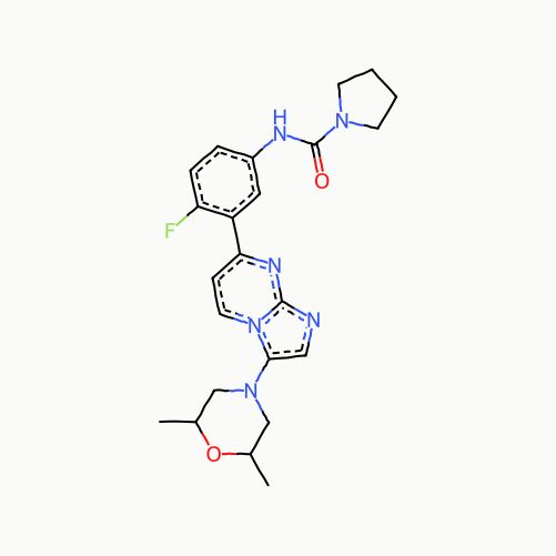 CC1CN(c2cnc3nc(-c4cc(NC(=O)N5CCCC5)ccc4F)ccn23)CC(C)O1